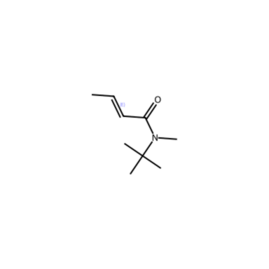 C/C=C/C(=O)N(C)C(C)(C)C